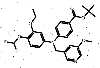 CCOc1cc(N(Cc2cncc(OC)c2)c2ccc(C(=O)OC(C)(C)C)cc2)ccc1OC(F)F